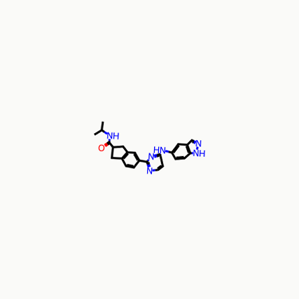 CC(C)NC(=O)C1Cc2ccc(-c3nccc(Nc4ccc5[nH]ncc5c4)n3)cc2C1